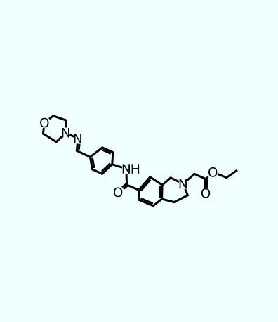 CCOC(=O)CN1CCc2ccc(C(=O)Nc3ccc(/C=N/N4CCOCC4)cc3)cc2C1